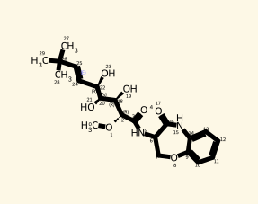 CO[C@@H](C(=O)NC1COc2ccccc2NC1=O)[C@H](O)[C@@H](O)[C@H](O)/C=C/C(C)(C)C